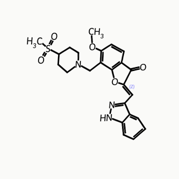 COc1ccc2c(c1CN1CCC(S(C)(=O)=O)CC1)O/C(=C\c1n[nH]c3ccccc13)C2=O